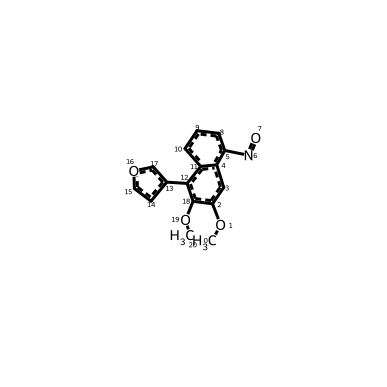 COc1cc2c(N=O)cccc2c(-c2ccoc2)c1OC